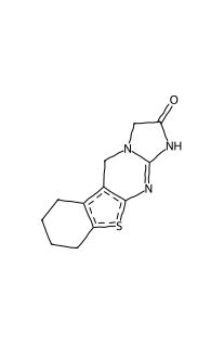 O=C1CN2Cc3c(sc4c3CCCC4)N=C2N1